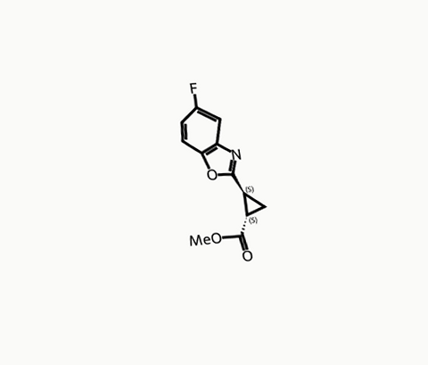 COC(=O)[C@H]1C[C@@H]1c1nc2cc(F)ccc2o1